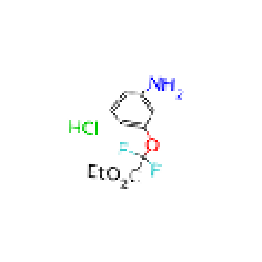 CCOC(=O)C(F)(F)Oc1cccc(N)c1.Cl